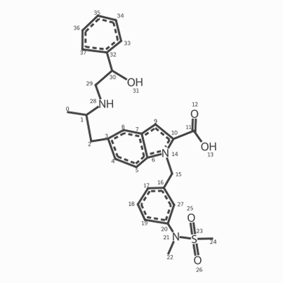 CC(Cc1ccc2c(c1)cc(C(=O)O)n2Cc1cccc(N(C)S(C)(=O)=O)c1)NCC(O)c1ccccc1